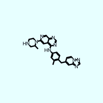 Cc1cc(Nc2ncnc3cnc(N4CCNCC4C)cc23)ccc1Cc1ccn2ncnc2c1